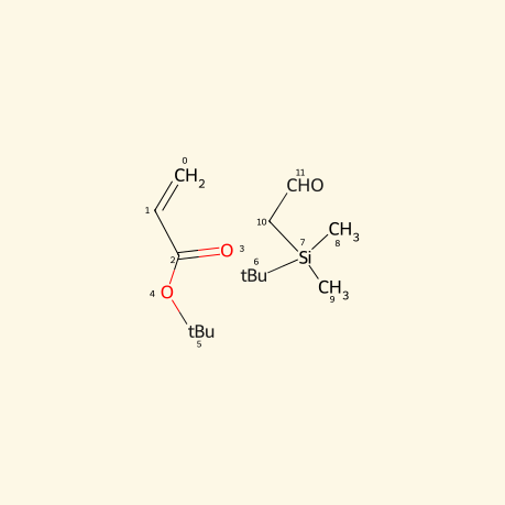 C=CC(=O)OC(C)(C)C.CC(C)(C)[Si](C)(C)CC=O